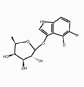 C[C@H]1OC(Oc2c[nH]c3ccc(Br)c(Cl)c23)[C@H](O)[C@@H](O)[C@H]1O